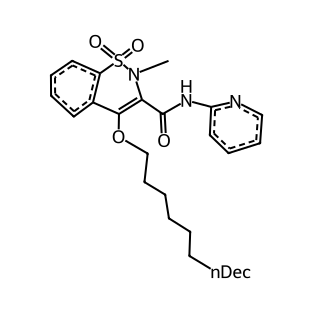 CCCCCCCCCCCCCCCCOC1=C(C(=O)Nc2ccccn2)N(C)S(=O)(=O)c2ccccc21